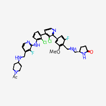 COc1cc(-c2nccc(-c3cccc(Nc4nccc(CNC5CCN(C(C)=O)CC5)c4F)c3Cl)c2Cl)cc(F)c1CNC[C@H]1CCC(=O)N1